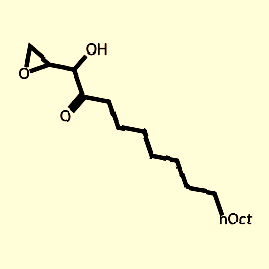 CCCCCCCCCCCCCCCC(=O)C(O)C1CO1